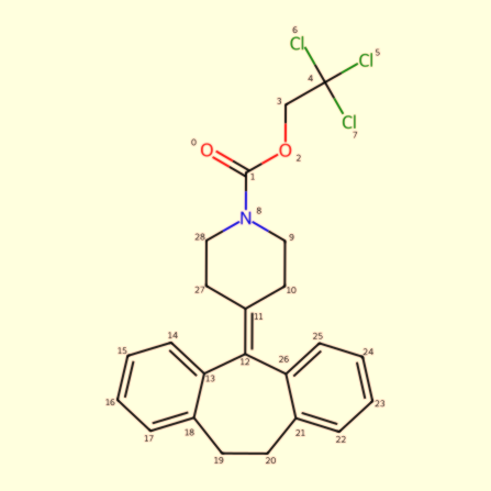 O=C(OCC(Cl)(Cl)Cl)N1CCC(=C2c3ccccc3CCc3ccccc32)CC1